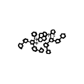 Fc1c(-c2cccc(-c3ccccc3)c2)cc(-c2cccc(-c3ccccc3)c2)cc1N(c1ccccc1)c1ccc2ccc3c(N(c4ccccc4)c4cc(-c5cccc(-c6ccccc6)c5)cc(-c5cccc(-c6ccccc6)c5)c4F)ccc4ccc1c2c43